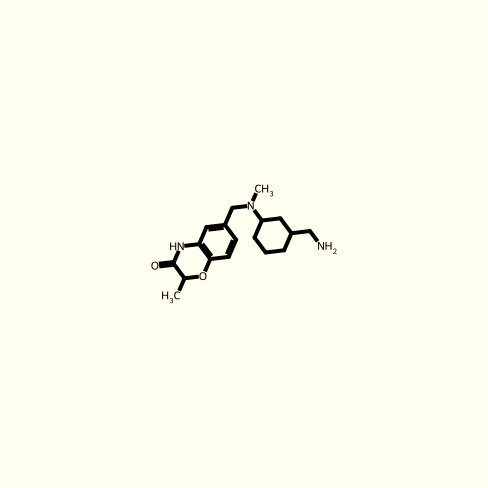 CC1Oc2ccc(CN(C)C3CCCC(CN)C3)cc2NC1=O